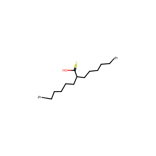 CC(C)CCCCCC(CCCCCC(C)C)C(O)=S